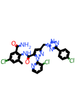 Cc1cc(Cl)cc(C(N)=O)c1NC(=O)c1cc(Cn2nnc(-c3ccc(Cl)cc3)n2)nn1-c1ncccc1Cl